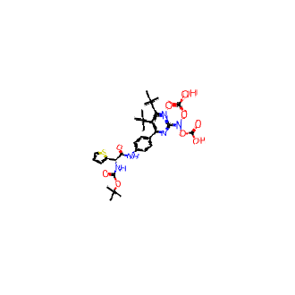 CC(C)(C)OC(=O)N[C@@H](C(=O)Nc1ccc(-c2nc(N(OC(=O)O)OC(=O)O)nc(C(C)(C)C)c2C(C)(C)C)cc1)c1cccs1